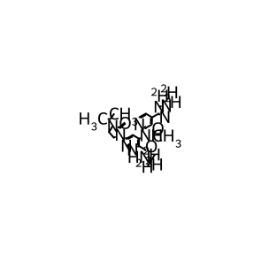 [2H]C([2H])([2H])NC(=O)c1nnc(N2CCN(C(C)C)C2=O)cc1Nc1nccc(-c2ncn(C([2H])([2H])[2H])n2)c1OC